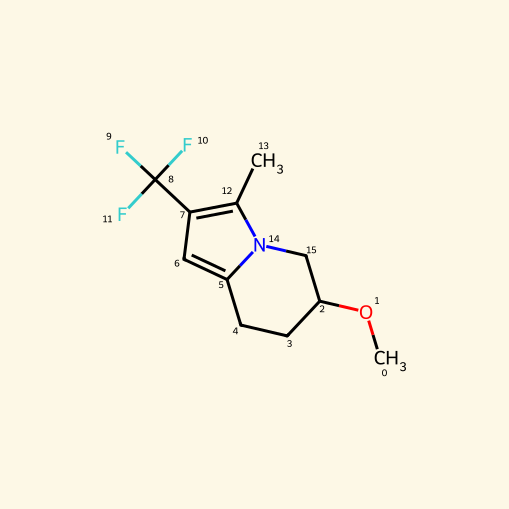 COC1CCc2cc(C(F)(F)F)c(C)n2C1